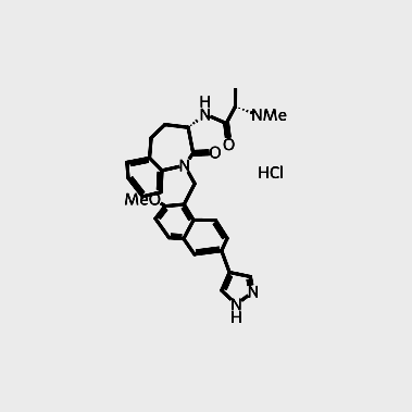 CN[C@@H](C)C(=O)N[C@H]1CCc2ccccc2N(Cc2c(OC)ccc3cc(-c4cn[nH]c4)ccc23)C1=O.Cl